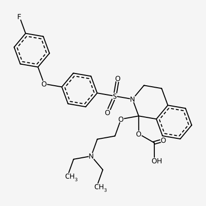 CCN(CC)CCOC1(OC(=O)O)c2ccccc2CCN1S(=O)(=O)c1ccc(Oc2ccc(F)cc2)cc1